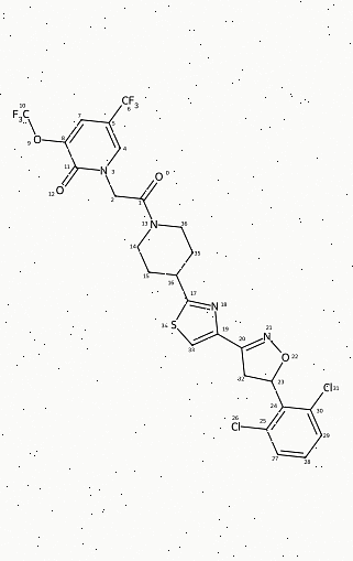 O=C(Cn1cc(C(F)(F)F)cc(OC(F)(F)F)c1=O)N1CCC(c2nc(C3=NOC(c4c(Cl)cccc4Cl)C3)cs2)CC1